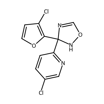 Clc1ccc(C2(c3occc3Cl)N=CON2)nc1